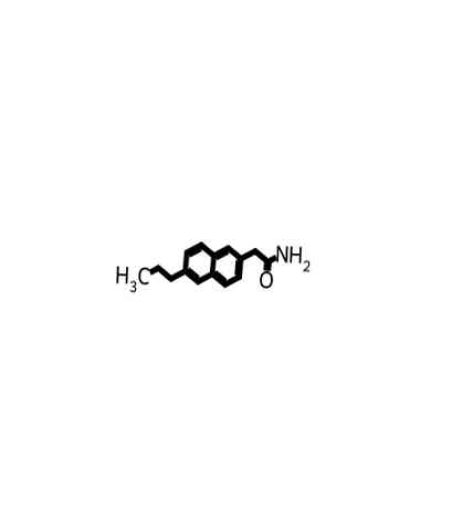 CCCc1ccc2cc(CC(N)=O)ccc2c1